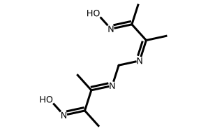 CC(=NO)C(C)=NCN=C(C)C(C)=NO